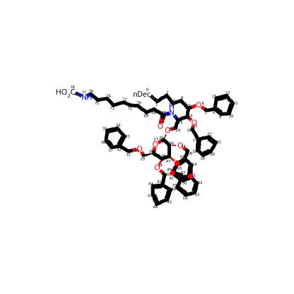 CCCCCCCCCCCCCCC(OCc1ccccc1)C(OCc1ccccc1)C(CO[C@H]1O[C@H](COCc2ccccc2)[C@H](OCc2ccccc2)[C@H](OCc2ccccc2)[C@H]1OCc1ccccc1)NC(=O)CCCCCCCCCNC(=O)O